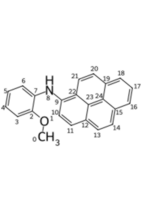 COc1ccccc1Nc1ccc2ccc3cccc4ccc1c2c34